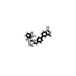 Cc1n[nH]c2ccc(-c3ccc(C[C@@H](C#N)NC(=O)[C@H]4N[C@@H]5CC[C@H]4C5)cc3)cc12